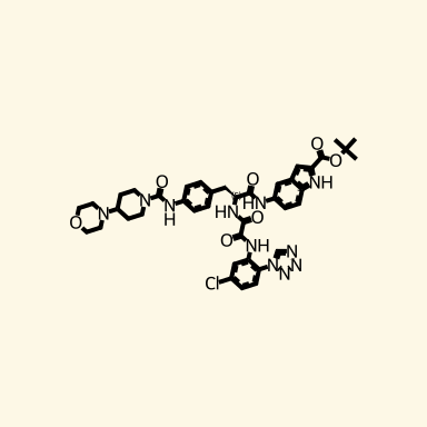 CC(C)(C)OC(=O)c1cc2cc(NC(=O)[C@H](Cc3ccc(NC(=O)N4CCC(N5CCOCC5)CC4)cc3)NC(=O)C(=O)Nc3cc(Cl)ccc3-n3cnnn3)ccc2[nH]1